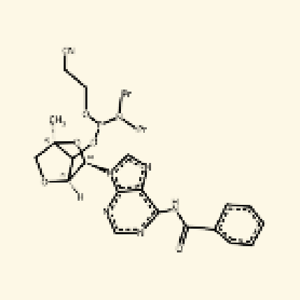 CC(C)N(C(C)C)P(OCCC#N)OC1[C@@H]2OC[C@@]1(C)O[C@H]2n1cnc2c(NC(=O)c3ccccc3)ncnc21